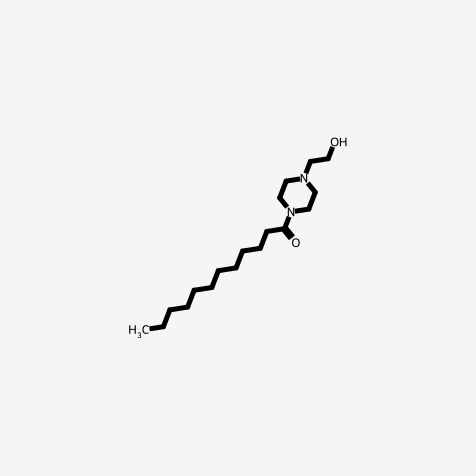 CCCCCCCCCCCC(=O)N1CCN(CCO)CC1